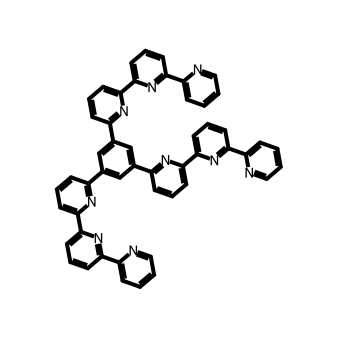 c1ccc(-c2cccc(-c3cccc(-c4cc(-c5cccc(-c6cccc(-c7ccccn7)n6)n5)cc(-c5cccc(-c6cccc(-c7ccccn7)n6)n5)c4)n3)n2)nc1